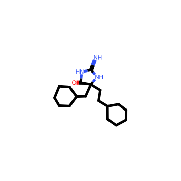 N=C1NC(=O)C(CCC2CCCCC2)(CC2CCCCC2)N1